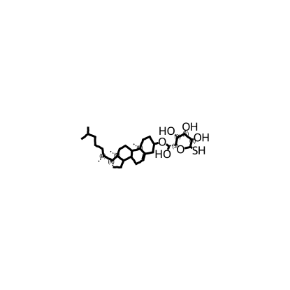 CC(C)CCC[C@@H](C)[C@H]1CCC2C3CC=C4CC(OC(O)[C@H]5OC(S)[C@H](O)[C@@H](O)[C@H]5O)CC[C@]4(C)C3CC[C@@]21C